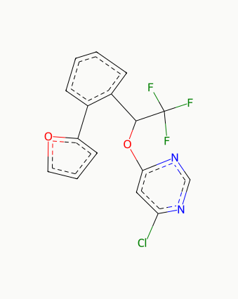 FC(F)(F)C(Oc1cc(Cl)ncn1)c1ccccc1-c1ccco1